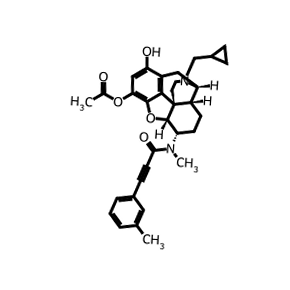 CC(=O)Oc1cc(O)c2c3c1O[C@H]1[C@@H](N(C)C(=O)C#Cc4cccc(C)c4)CC[C@H]4[C@@H](C2)N(CC2CC2)CC[C@@]341